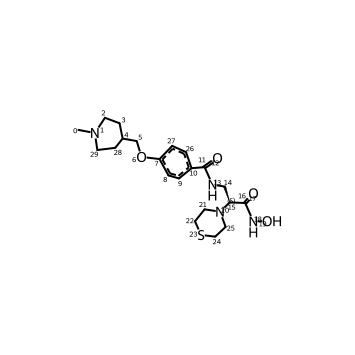 CN1CCC(COc2ccc(C(=O)NC[C@@H](C(=O)NO)N3CCSCC3)cc2)CC1